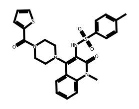 Cc1ccc(S(=O)(=O)Nc2c(N3CCN(C(=O)c4cccs4)CC3)c3ccccc3n(C)c2=O)cc1